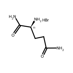 Br.NC(=O)CC[C@H](N)C(N)=O